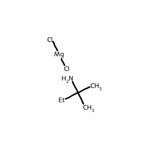 [CH2]CC(C)(C)N.[Cl][Mg][Cl]